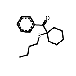 CCCCSC1(C(=O)c2ccccc2)CCCCC1